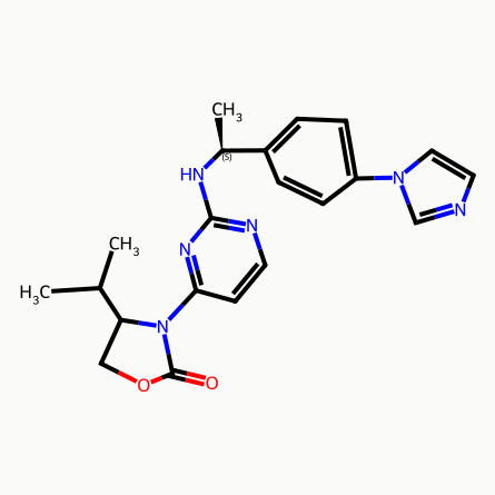 CC(C)C1COC(=O)N1c1ccnc(N[C@@H](C)c2ccc(-n3ccnc3)cc2)n1